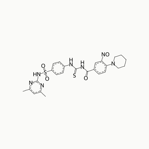 Cc1cc(C)nc(NS(=O)(=O)c2ccc(NC(=S)NC(=O)c3ccc(N4CCCCC4)c(N=O)c3)cc2)n1